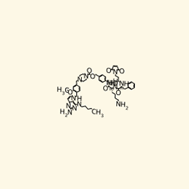 CCCCCNc1nc(N)nc2ccn(Cc3ccc(CN4CCN(C(=O)OCc5ccc(NC(=O)[C@@H](CCCCN)NC(=O)[C@H](Cc6ccccc6)NC(O)CCN6C(=O)C=CC6=O)cc5)CC4)cc3OC)c12